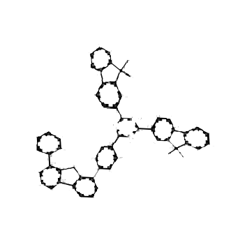 CC1(C)c2ccccc2-c2ccc(-c3nc(-c4ccc(-c5cccc6c5Cc5c(-c7ccccc7)cccc5-6)cc4)nc(-c4ccc5c(c4)C(C)(C)c4ccccc4-5)n3)cc21